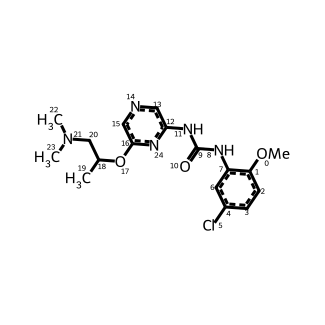 COc1ccc(Cl)cc1NC(=O)Nc1cncc(OC(C)CN(C)C)n1